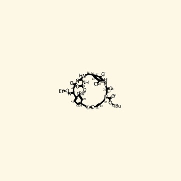 CCON=C1CC(=O)/N=C(\NC(=O)OC(C)(C)C)NCc2cc(Cl)c(c(Cl)c2)NC(=O)CN(C(=O)OC(C)(C)C)CC=CCOc2ccc1cc2